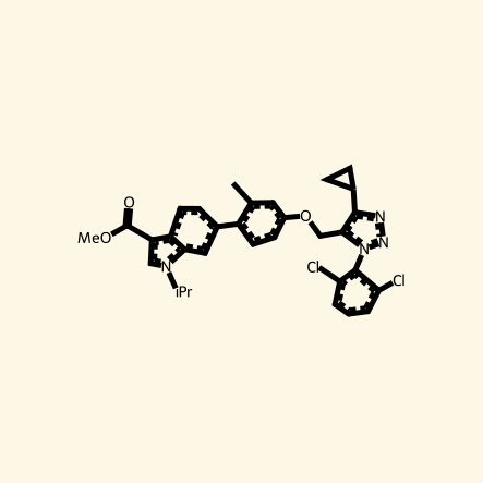 COC(=O)c1cn(C(C)C)c2cc(-c3ccc(OCc4c(C5CC5)nnn4-c4c(Cl)cccc4Cl)cc3C)ccc12